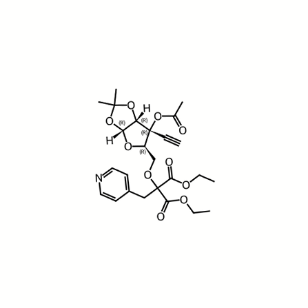 C#C[C@@]1(OC(C)=O)[C@@H](COC(Cc2ccncc2)(C(=O)OCC)C(=O)OCC)O[C@@H]2OC(C)(C)O[C@@H]21